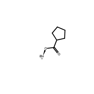 CC[C@H](C)OC(=O)C1CCCC1